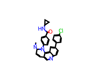 CN=c1ccc2cnc3ccc(-c4ccc(Cl)cc4)cc3c2n1-c1ccc(C(=O)NC2CC2)cc1